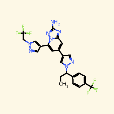 CCC(c1ccc(C(F)(F)F)cc1)n1cc(-c2cc(-c3cnn(CC(F)(F)F)c3)n3nc(N)nc3c2)cn1